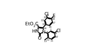 CCOC(=O)c1[nH]c(=O)n(-c2cc(Cl)ccc2C)c1-c1ccc(F)c(Cl)c1